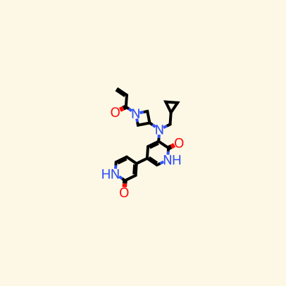 C=CC(=O)N1CC(N(CC2CC2)c2cc(-c3cc[nH]c(=O)c3)c[nH]c2=O)C1